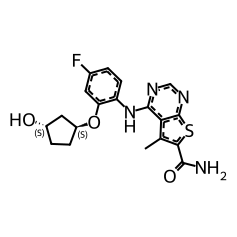 Cc1c(C(N)=O)sc2ncnc(Nc3ccc(F)cc3O[C@H]3CC[C@H](O)C3)c12